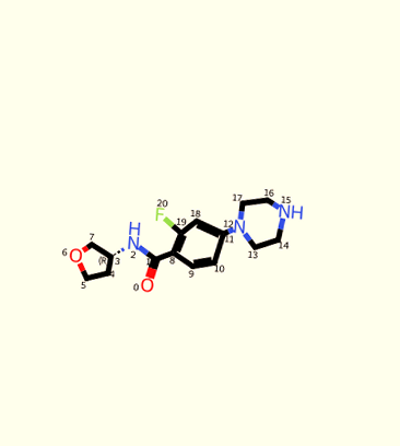 O=C(N[C@@H]1CCOC1)c1ccc(N2CCNCC2)cc1F